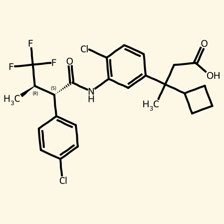 C[C@H]([C@H](C(=O)Nc1cc(C(C)(CC(=O)O)C2CCC2)ccc1Cl)c1ccc(Cl)cc1)C(F)(F)F